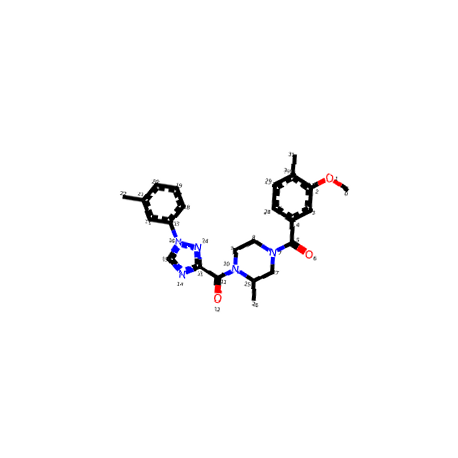 COc1cc(C(=O)N2CCN(C(=O)c3ncn(-c4cccc(C)c4)n3)C(C)C2)ccc1C